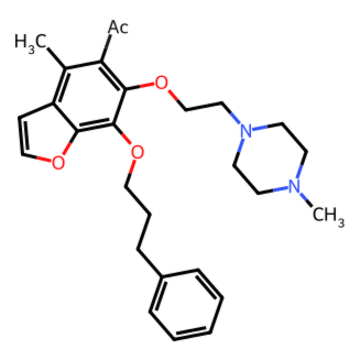 CC(=O)c1c(OCCN2CCN(C)CC2)c(OCCCc2ccccc2)c2occc2c1C